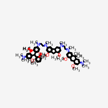 COC1=CC(N(C)CCN(C)c2cc(OC)c3c(c2)C(C)(C)C2C=C(N(C)C)C=C(OC)C2C3)=CC2c3cc(N(C)CCN(C)c4cc(OC)c(C(c5c(C)cccc5C)c5c(OC)cc(N(C)C)cc5OC)c(OC)c4)cc(OC)c3CC12